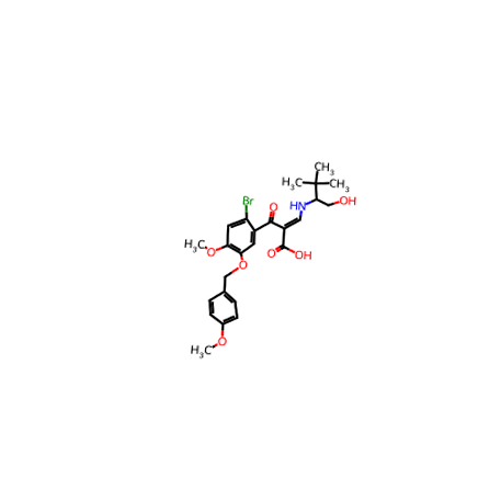 COc1ccc(COc2cc(C(=O)/C(=C\NC(CO)C(C)(C)C)C(=O)O)c(Br)cc2OC)cc1